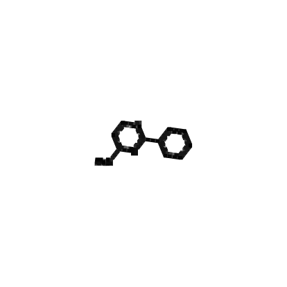 CNc1ccnc(-c2ccccc2)n1